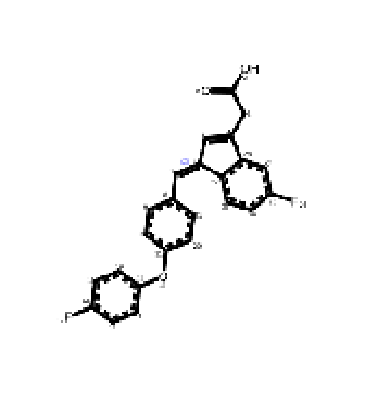 O=C(O)CC1=C/C(=C/c2ccc(Oc3ccc(F)cc3)cc2)c2ccc(F)cc21